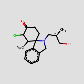 COC1C(Cl)C(=O)CCC12c1ccccc1CN2C[C@@H](C)CO